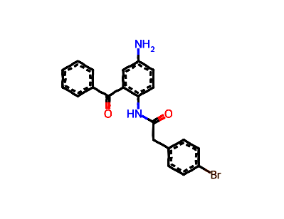 Nc1ccc(NC(=O)Cc2ccc(Br)cc2)c(C(=O)c2ccccc2)c1